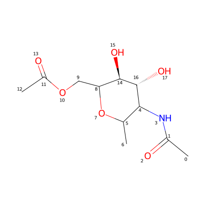 CC(=O)NC1C(C)OC(COC(C)=O)[C@@H](O)[C@@H]1O